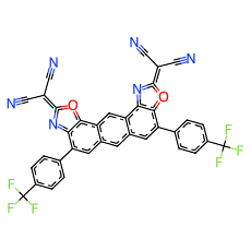 N#CC(C#N)=c1nc2c(o1)c(-c1ccc(C(F)(F)F)cc1)cc1cc3cc(-c4ccc(C(F)(F)F)cc4)c4nc(=C(C#N)C#N)oc4c3cc12